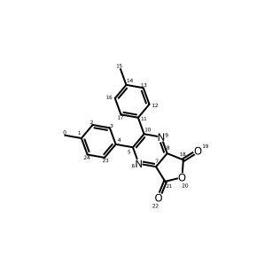 Cc1ccc(-c2nc3c(nc2-c2ccc(C)cc2)C(=O)OC3=O)cc1